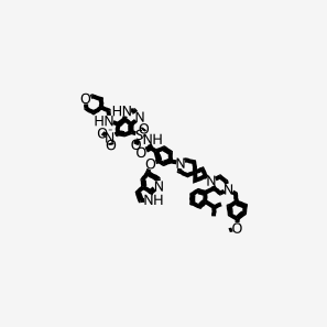 COc1ccc(CN2CCN(C3CC4(CCN(c5ccc(C(=O)NS(=O)(=O)c6cc([N+](=O)[O-])c(NCC7CCOCC7)c7[nH]cnc67)c(Oc6cnc7[nH]ccc7c6)c5)CC4)C3)C(c3ccccc3C(C)C)C2)cc1